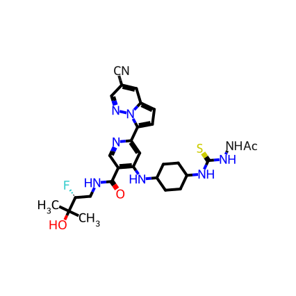 CC(=O)NNC(=S)NC1CCC(Nc2cc(-c3ccc4cc(C#N)cnn34)ncc2C(=O)NC[C@@H](F)C(C)(C)O)CC1